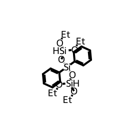 CCO[SiH](OCC)O[Si](O[SiH](OCC)OCC)(c1ccccc1)c1ccccc1